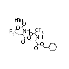 CC(C)(C)OC(=O)N/C(=C\C(F)(F)F)C(=O)OC[C@H](NC(=O)C(F)(F)F)C(=O)OCc1ccccc1